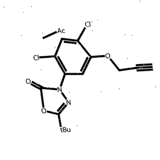 C#CCOc1cc(-n2nc(C(C)(C)C)oc2=O)c(Cl)cc1Cl.CC(C)=O